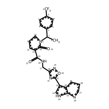 CC(c1ccc(C(F)(F)F)cc1)n1cccc(C(=O)NCc2noc(-c3c[nH]c4ncccc34)n2)c1=O